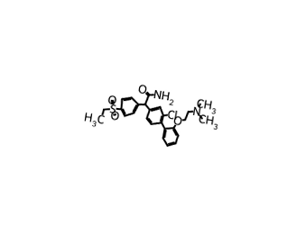 CCS(=O)(=O)c1ccc(C(C(N)=O)c2ccc(-c3ccccc3OCCN(C)C)c(Cl)c2)cc1